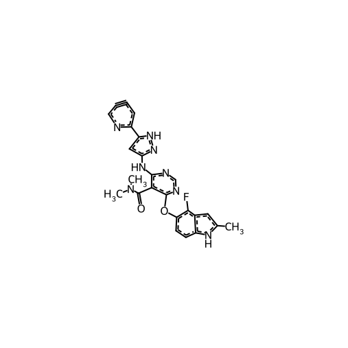 Cc1cc2c(F)c(Oc3ncnc(Nc4cc(-c5cc#ccn5)[nH]n4)c3C(=O)N(C)C)ccc2[nH]1